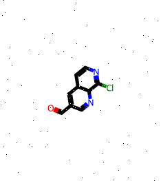 O=CC1=CC2C=CN=C(Cl)C2N=C1